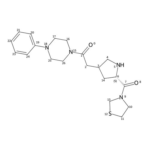 O=C(CC1CN[C@H](C(=O)N2CCSC2)C1)N1CCN(c2ccccc2)CC1